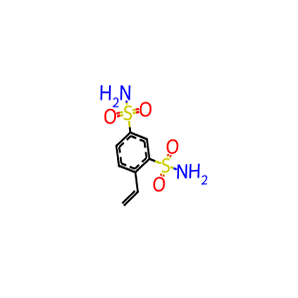 C=Cc1ccc(S(N)(=O)=O)cc1S(N)(=O)=O